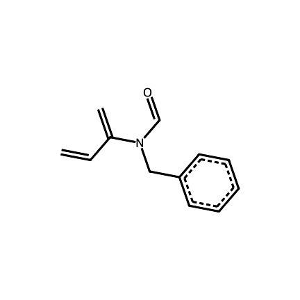 C=CC(=C)N(C=O)Cc1ccccc1